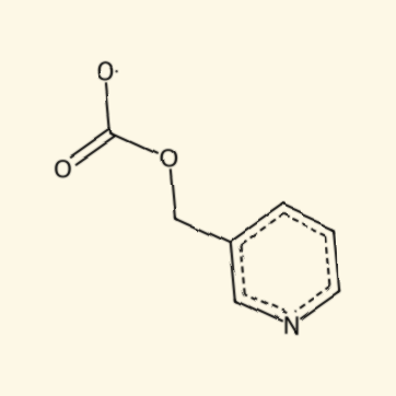 [O]C(=O)OCc1cccnc1